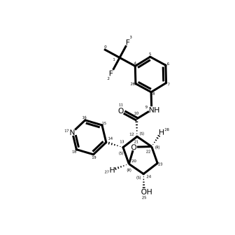 CC(F)(F)c1cccc(NC(=O)[C@H]2[C@@H](c3ccncc3)[C@H]3O[C@@H]2C[C@@H]3O)c1